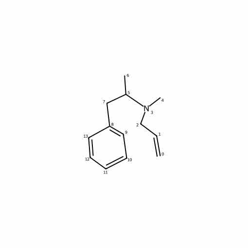 C=CCN(C)C(C)Cc1ccccc1